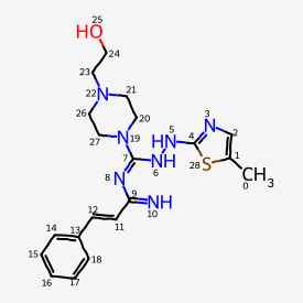 Cc1cnc(NN/C(=N\C(=N)/C=C/c2ccccc2)N2CCN(CCO)CC2)s1